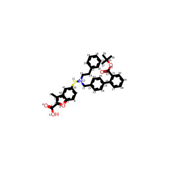 Cc1c(C(=O)O)oc2ccc(SN(CCc3ccccc3)Cc3ccc(-c4ccccc4C(=O)OC(C)(C)C)cc3)cc12